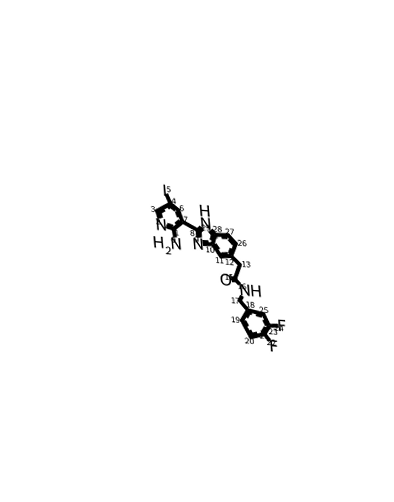 Nc1ncc(I)cc1-c1nc2cc(CC(=O)NCc3ccc(F)c(F)c3)ccc2[nH]1